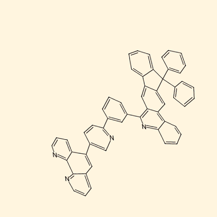 c1ccc(C2(c3ccccc3)c3ccccc3-c3cc4c(-c5cccc(-c6ccc(-c7cc8cccnc8c8ncccc78)cn6)c5)nc5ccccc5c4cc32)cc1